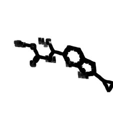 CC(NC(=O)OC(C)(C)C)c1ccc2cc(C3CC3)[nH]c2n1